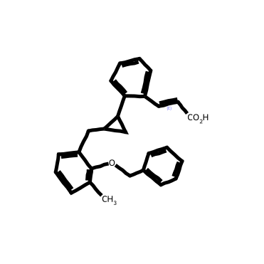 Cc1cccc(CC2CC2c2ccccc2/C=C/C(=O)O)c1OCc1ccccc1